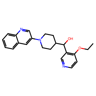 CCOc1ccncc1C(O)C1CCN(c2cnc3ccccc3c2)CC1